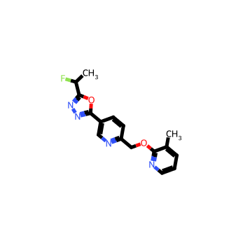 Cc1cccnc1OCc1ccc(-c2nnc(C(C)F)o2)cn1